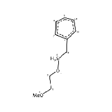 COCCO[SiH2]Cc1ccccc1